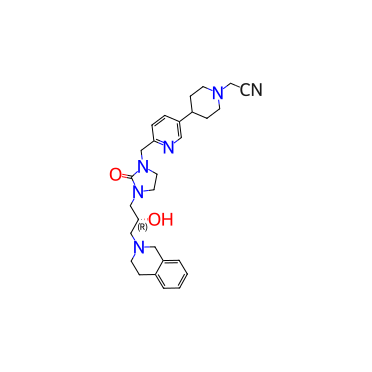 N#CCN1CCC(c2ccc(CN3CCN(C[C@H](O)CN4CCc5ccccc5C4)C3=O)nc2)CC1